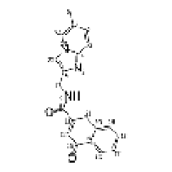 Cc1ccc2nc(CNC(=O)C3=CC(=O)c4ccccc4C3)cn2c1